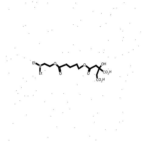 CCN(CC)CCOC(=O)CCCCOC(=O)CC(O)(CC(=O)O)C(=O)O